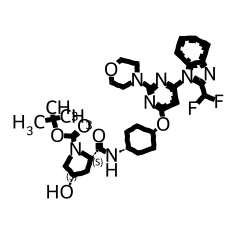 CC(C)(C)OC(=O)N1C[C@@H](O)C[C@H]1C(=O)N[C@H]1CC[C@H](Oc2cc(-n3c(C(F)F)nc4ccccc43)nc(N3CCOCC3)n2)CC1